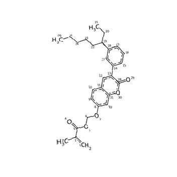 C=C(C)C(=O)OCOc1ccc2cc(-c3cccc(C(CC)CCCCC)c3)c(=O)oc2c1